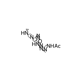 CC(=O)NCc1nc(C)cn2cc(NC(=O)c3ccc(N4CCC(NC5CC5)CC4)c4cn(C)nc34)nc12